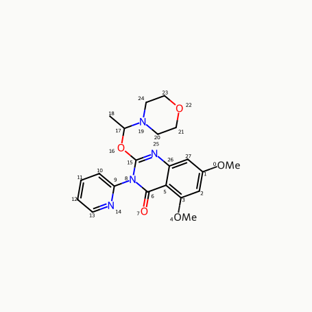 COc1cc(OC)c2c(=O)n(-c3ccccn3)c(OC(C)N3CCOCC3)nc2c1